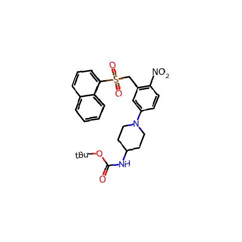 CC(C)(C)OC(=O)NC1CCN(c2ccc([N+](=O)[O-])c(CS(=O)(=O)c3cccc4ccccc34)c2)CC1